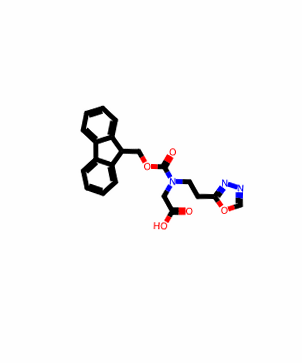 O=C(O)CN(CCc1nnco1)C(=O)OCC1c2ccccc2-c2ccccc21